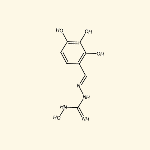 N=C(NO)NN=Cc1ccc(O)c(O)c1O